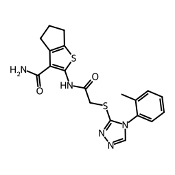 Cc1ccccc1-n1cnnc1SCC(=O)Nc1sc2c(c1C(N)=O)CCC2